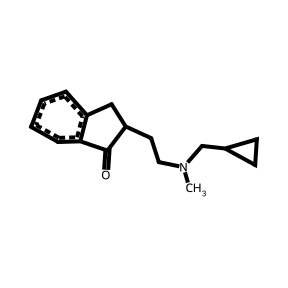 CN(CCC1Cc2ccccc2C1=O)CC1CC1